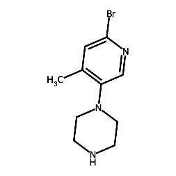 Cc1cc(Br)ncc1N1CCNCC1